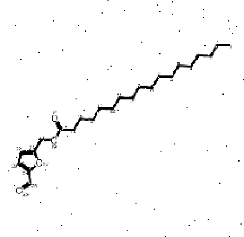 CCCCCCCCCCCCCCCCCC(=O)OCc1ccc(C=O)o1